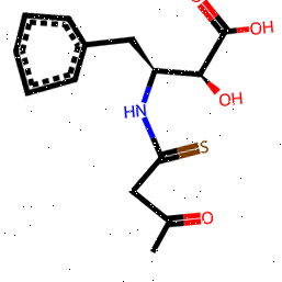 CC(=O)CC(=S)N[C@@H](Cc1ccccc1)[C@H](O)C(=O)O